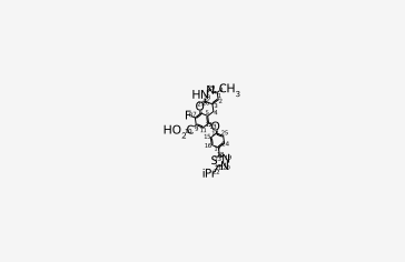 Cc1cc(Cc2cc(F)c(C(=O)O)cc2Oc2ccc(-c3nnc(C(C)C)s3)cc2)c(=O)[nH]n1